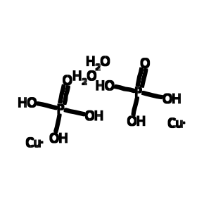 O.O.O=P(O)(O)O.O=P(O)(O)O.[Cu].[Cu]